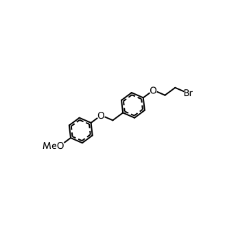 COc1ccc(OCc2ccc(OCCBr)cc2)cc1